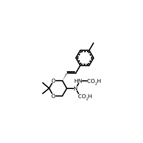 Cc1ccc(C=C[C@H]2OC(C)(C)OCC2N(NC(=O)O)C(=O)O)cc1